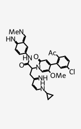 CN/C=C1/C=C(NC(=O)C(CC(=N)/C=C\NC2CC2)n2cc(OC)c(-c3cc(Cl)ccc3C(C)=O)cc2=O)C=CC1=N